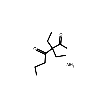 CCCC(=O)C(CC)(CC)C(C)=O.[AlH3]